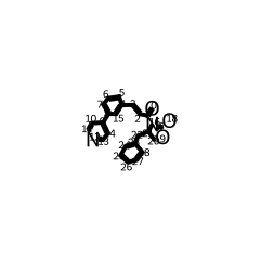 O=C(C=Cc1cccc(-c2ccncc2)c1)N1C(=O)OCC1Cc1ccccc1